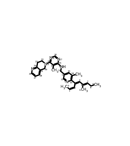 C\C=C/C(=C\C(C)=C\CC)c1ncc(CNc2ncnc(N3CCc4ncccc4C3)c2C)cc1C